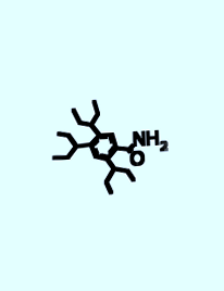 CCC(CC)c1cc(C(CC)CC)c(C(CC)CC)cc1C(N)=O